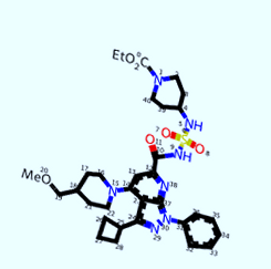 CCOC(=O)N1CCC(NS(=O)(=O)NC(=O)c2cc(N3CCC(COC)CC3)c3c(C4CCC4)nn(-c4ccccc4)c3n2)CC1